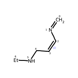 C=N/C=C\CNCC